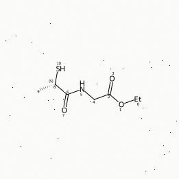 CCOC(=O)CNC(=O)[C@H](C)S